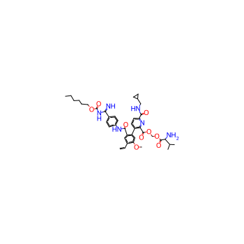 C=Cc1cc(C(=O)Nc2ccc(C(=N)NC(=O)OCCCCCC)cc2)c(-c2ccc(C(=O)NCC3CC3)nc2C(=O)OCOC(=O)[C@@H](N)C(C)C)cc1OC